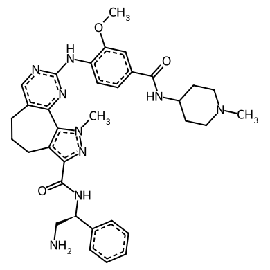 COc1cc(C(=O)NC2CCN(C)CC2)ccc1Nc1ncc2c(n1)-c1c(c(C(=O)N[C@H](CN)c3ccccc3)nn1C)CCC2